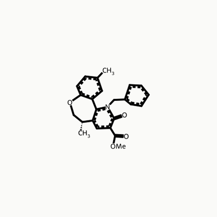 COC(=O)c1cc2c(n(Cc3ccccc3)c1=O)-c1cc(C)ccc1OC[C@H]2C